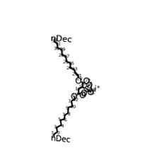 CCCCCCCCCCCCCCCCCCCCCCOC(=O)CC(C(=O)OCCCCCCCCCCCCCCCCCCCCCC)S(=O)(=O)[O-].[Li+]